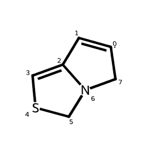 [C]1=CC2=CSCN2C1